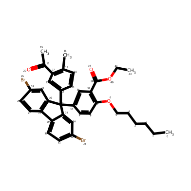 CCCCCCOc1ccc(C2(c3ccc(C)c(C(C)=O)c3)c3cc(Br)ccc3-c3ccc(Br)cc32)cc1C(=O)OCC